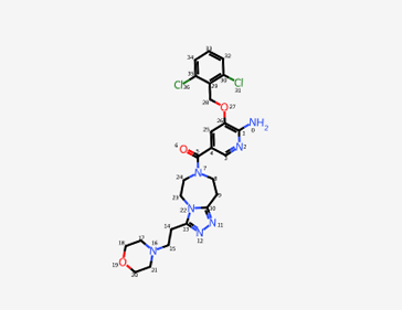 Nc1ncc(C(=O)N2CCc3nnc(CCN4CCOCC4)n3CC2)cc1OCc1c(Cl)cccc1Cl